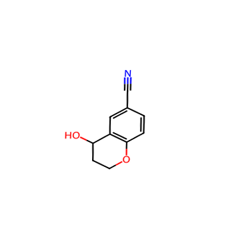 N#Cc1ccc2c(c1)C(O)CCO2